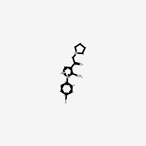 Cc1c(C(=O)CN2CCCC2)cnn1-c1ccc(F)cc1